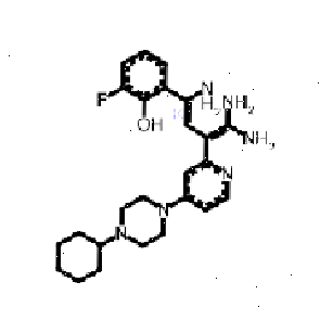 NC(N)=C(/C=C(\N)c1cccc(F)c1O)c1cc(N2CCN(C3CCCCC3)CC2)ccn1